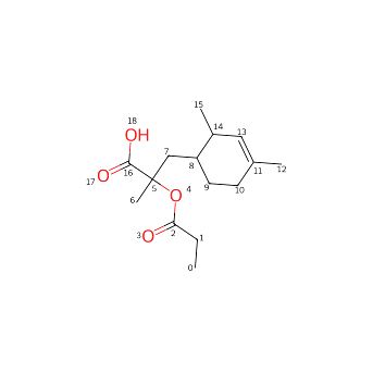 CCC(=O)OC(C)(CC1CCC(C)=CC1C)C(=O)O